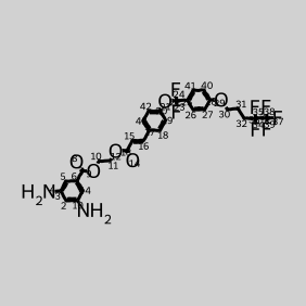 Nc1cc(N)cc(C(=O)OCCOC(=O)C=Cc2ccc(OC(F)(F)c3ccc(OCCCC(F)(F)C(F)(F)F)cc3)cc2)c1